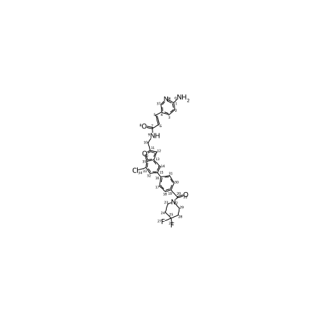 Nc1ccc(C=CC(=O)NCc2cc3cc(-c4ccc(C(=O)N5CCC(F)(F)CC5)cc4)cc(Cl)c3o2)cn1